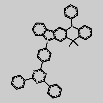 CC1(C)c2ccccc2N(c2ccccc2)c2cc3c4ccccc4n(-c4ccc(-c5nc(-c6ccccc6)nc(-c6ccccc6)n5)cc4)c3cc21